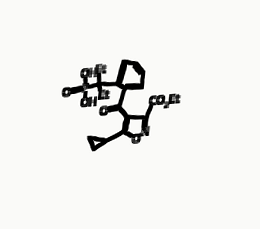 CCOC(=O)c1noc(C2CC2)c1C(=O)c1ccccc1C(CC)(CC)P(=O)(O)O